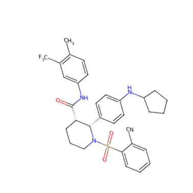 Cc1ccc(NC(=O)[C@H]2CCCN(S(=O)(=O)c3ccccc3C#N)[C@H]2c2ccc(NC3CCCC3)cc2)cc1C(F)(F)F